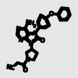 N#CCC(=O)N1CCC(n2c(=O)n(-c3ccc(Oc4ccccc4)cc3)c3c(N)ncnc32)C1